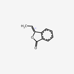 [CH2]/C=C1\OC(=O)c2ccccc21